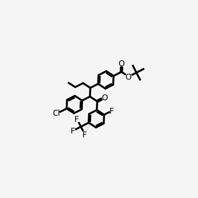 CCCC(c1ccc(C(=O)OC(C)(C)C)cc1)C(C(=O)c1cc(C(F)(F)F)ccc1F)c1ccc(Cl)cc1